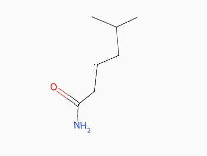 CC(C)C[CH]CC(N)=O